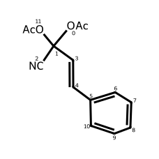 CC(=O)OC(C#N)(C=Cc1ccccc1)OC(C)=O